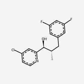 C[C@@H](Cc1cc(F)cc(F)c1)[C@H](O)c1cc(Cl)ccn1